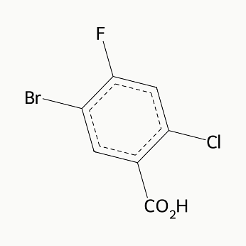 O=C(O)c1cc(Br)c(F)cc1Cl